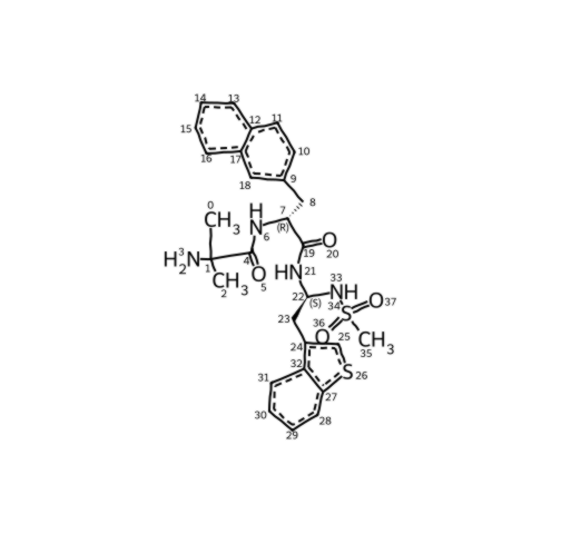 CC(C)(N)C(=O)N[C@H](Cc1ccc2ccccc2c1)C(=O)N[C@H](Cc1csc2ccccc12)NS(C)(=O)=O